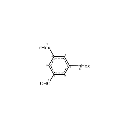 CCCCCCc1cc(C=O)cc(CCCCCC)c1